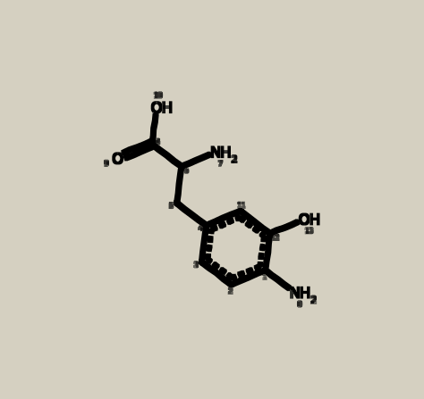 Nc1ccc(CC(N)C(=O)O)cc1O